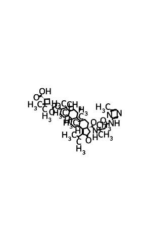 Cc1cncc(NC(=O)CC(C)(C)NC(=O)[C@@]23CC[C@]4(C)[C@H](CC[C@@H]5[C@@]6(C)CC[C@H](OC(=O)[C@H]7C[C@@H](C(=O)O)C7(C)C)C(C)(C)[C@@H]6CC[C@]54C)C2=C(C(C)C)C(=O)C3)n1